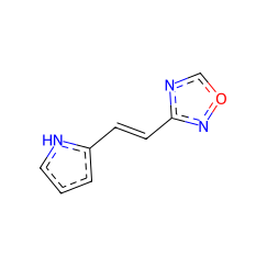 C(=Cc1ccc[nH]1)c1ncon1